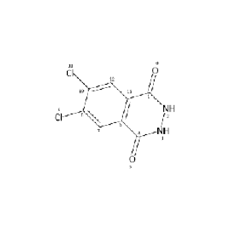 O=c1[nH][nH]c(=O)c2cc(Cl)c(Cl)cc12